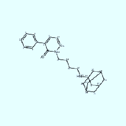 O=c1c(-c2ccccc2)ccnn1CCCCNC12CC3CC(CC(C3)C1)C2